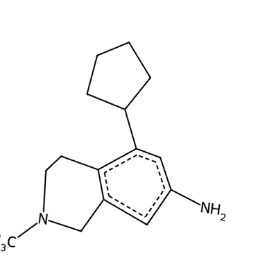 CN1CCc2c(cc(N)cc2C2CCCC2)C1